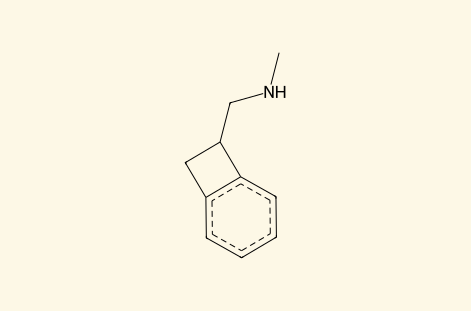 CNCC1Cc2ccccc21